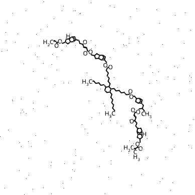 C=CC(=O)OCC1CC2C3CC(CC3CCC(=O)/C=C/C(=O)OCC3CC4C5CC(COC(=O)CCCCCCC6C(CCCCCC)CCC(CCCCCCCC)C6CCCCCCC(=O)OCC6CC7CC6CC7CC(CC)COC(=O)/C=C/C(=O)CCC6CC7CC6C6CC(COC(=O)C(=C)C)C[C@H]76)C(C5)C4C3)[C@H]2C1